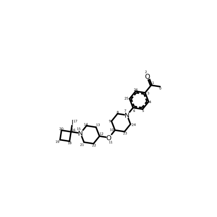 CC(=O)c1ccc(N2CCC(OC3CCN(C4(I)CCC4)CC3)CC2)cc1